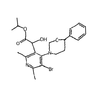 Cc1nc(C)c(C(O)C(=O)OC(C)C)c(N2CCC(c3ccccc3)CC2)c1Br